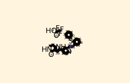 O=C(O)C(F)(F)F.O=C1NCCc2[nH]c(-c3ccnc(/C=C/c4ccccc4Sc4ccccc4)c3)cc21